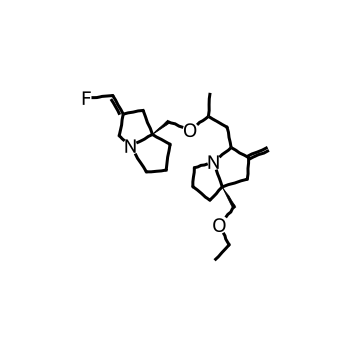 C=C1C[C@]2(COCC)CCCN2C1CC(C)OC[C@@]12CCCN1C/C(=C\F)C2